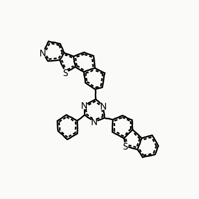 c1ccc(-c2nc(-c3ccc4c(c3)sc3ccccc34)nc(-c3ccc4ccc5c6ccncc6sc5c4c3)n2)cc1